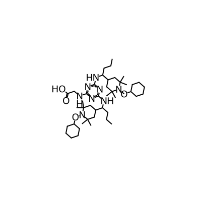 CCCC(Nc1nc(NCC(=O)O)nc(NC(CCC)C2CC(C)(C)N(OC3CCCCC3)C(C)(C)C2)n1)C1CC(C)(C)N(OC2CCCCC2)C(C)(C)C1